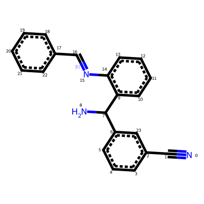 N#Cc1cccc(C(N)c2ccccc2/N=C/c2ccccc2)c1